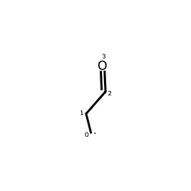 [CH2]CC=O